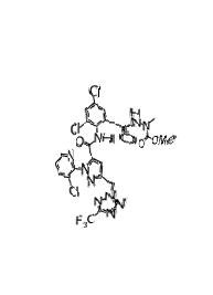 COC(=O)N(C)NC(=O)c1cc(Cl)cc(Cl)c1NC(=O)c1cc(Cn2nnc(C(F)(F)F)n2)nn1-c1ncccc1Cl